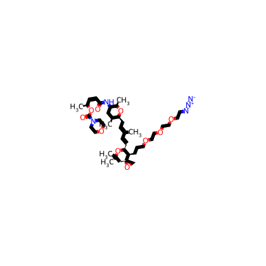 CC(/C=C/[C@H]1OC(C)(C)C[C@@]2(CO2)[C@@H]1CCCOCCOCCOCCN=[N+]=[N-])=C\C[C@@H]1O[C@H](C)C(NC(=O)/C=C\[C@H](C)OC(=O)N2CCOCC2)C[C@@H]1C